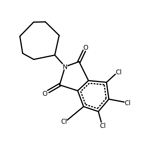 O=C1c2c(Cl)c(Cl)c(Cl)c(Cl)c2C(=O)N1C1CCCCCC1